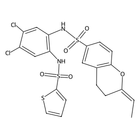 C/C=C1\CCc2cc(S(=O)(=O)Nc3cc(Cl)c(Cl)cc3NS(=O)(=O)c3cccs3)ccc2O1